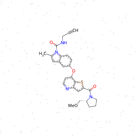 C#CCNC(=O)n1c(C)cc2cc(Oc3ccnc4cc(C(=O)N5CCC[C@@H]5COC)sc34)ccc21